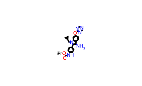 CC(C)OC(=O)Nc1ccc(-c2c(N)c3ccc(Oc4ncncn4)cc3n2CC2CC2)cc1